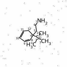 C[Si](C)(C)C1(CCN)C=CC=CC1